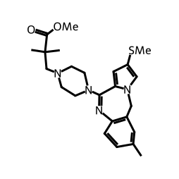 COC(=O)C(C)(C)CN1CCN(C2=Nc3ccc(C)cc3Cn3cc(SC)cc32)CC1